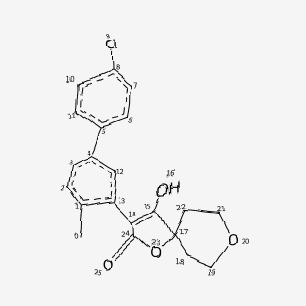 Cc1ccc(-c2ccc(Cl)cc2)cc1C1=C(O)C2(CCOCC2)OC1=O